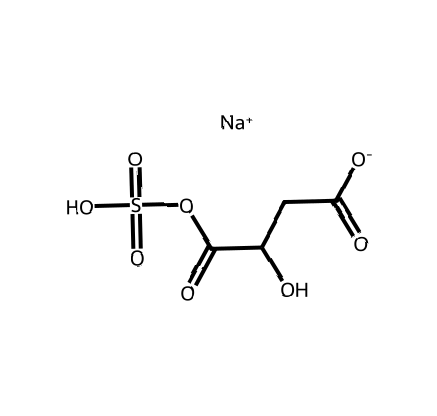 O=C([O-])CC(O)C(=O)OS(=O)(=O)O.[Na+]